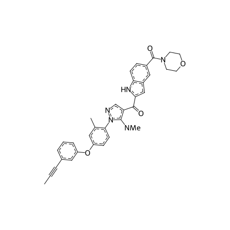 CC#Cc1cccc(Oc2ccc(-n3ncc(C(=O)c4cc5cc(C(=O)N6CCOCC6)ccc5[nH]4)c3NC)c(C)c2)c1